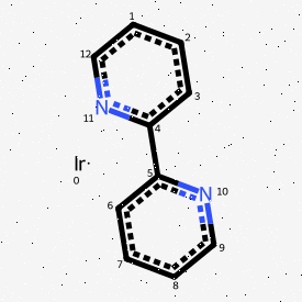 [Ir].c1ccc(-c2ccccn2)nc1